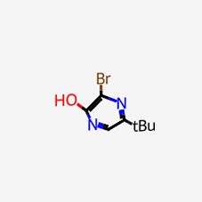 CC(C)(C)c1cnc(O)c(Br)n1